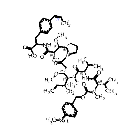 C/C=C\c1ccc(CC(NC(=O)[C@H](C)[C@@H](OC)[C@@H]2CCCN2C(=O)C[C@@H](OC)[C@H]([C@@H](C)CC)N(C)C(=O)[C@@H](NC(=O)[C@H](C(C)C)N(C)C(=O)OCc2ccc(NC)cc2)C(C)C)C(=O)O)cc1